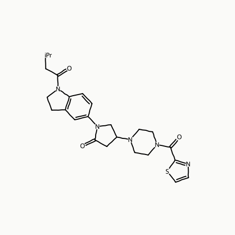 CC(C)CC(=O)N1CCc2cc(N3CC(N4CCN(C(=O)c5nccs5)CC4)CC3=O)ccc21